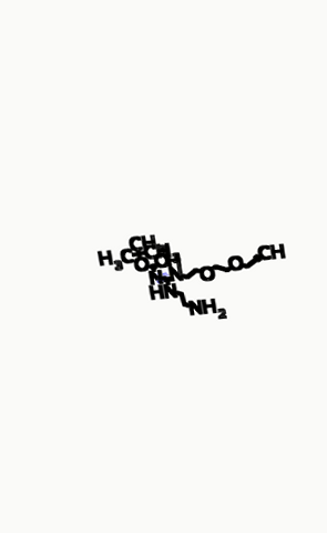 C#CCOCCOCCN/C(=N\C(=O)OC(C)(C)C)NCCN